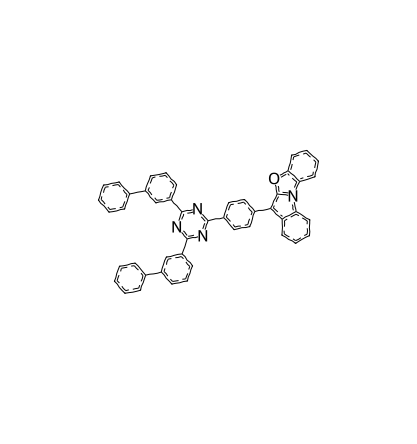 c1ccc(-c2cccc(-c3nc(-c4ccc(-c5c6ccccc6n6c5oc5ccccc56)cc4)nc(-c4cccc(-c5ccccc5)c4)n3)c2)cc1